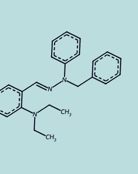 CCN(CC)c1ccccc1/C=N/N(Cc1ccccc1)c1ccccc1